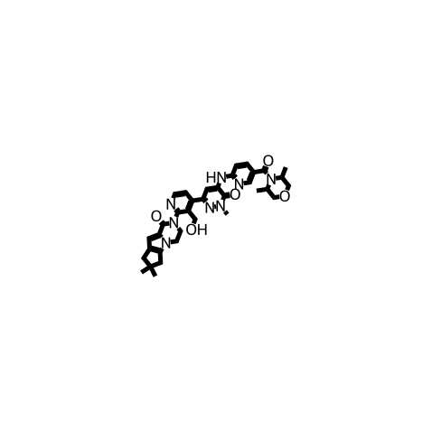 CC1COCC(C)N1C(=O)c1ccc(Nc2cc(-c3ccnc(N4CCn5c(cc6c5CC(C)(C)C6)C4=O)c3CO)nn(C)c2=O)nc1